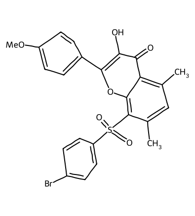 COc1ccc(-c2oc3c(S(=O)(=O)c4ccc(Br)cc4)c(C)cc(C)c3c(=O)c2O)cc1